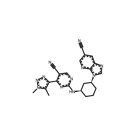 Cc1c(-c2nc(N[C@@H]3CCC[C@H](n4cnc5cc(C#N)cnc54)C3)ncc2C#N)nnn1C